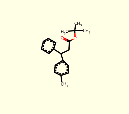 Cc1ccc(C(CC(=O)OC(C)(C)C)c2ccccc2)cc1